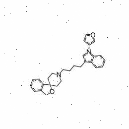 c1ccc2c(c1)COC21CCN(CCCCc2cn(-c3ccoc3)c3ccccc23)CC1